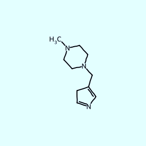 CN1CCN(CC2=CN=CC2)CC1